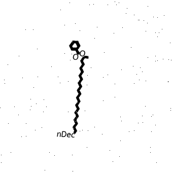 CCCCCCCCCCCCCCCCCCCCCCCCCCCCCCC(C)OC(=O)c1ccccc1